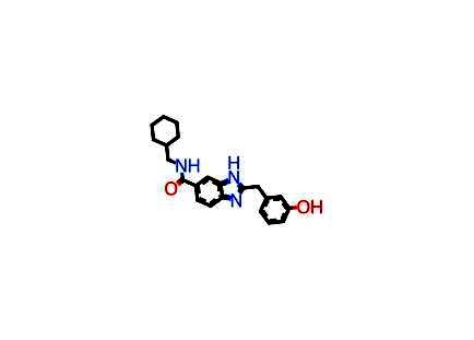 O=C(NCC1CCCCC1)c1ccc2nc(Cc3cccc(O)c3)[nH]c2c1